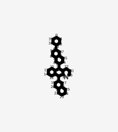 c1ccc(-c2ccc3cc(-c4c5ccccc5c(-c5ccc6ccccc6c5)c5ncccc45)ccc3c2)cc1